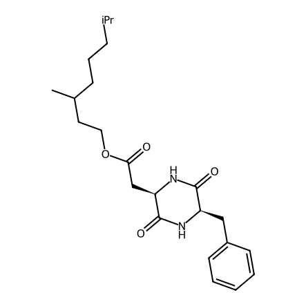 CC(C)CCCC(C)CCOC(=O)C[C@H]1NC(=O)[C@@H](Cc2ccccc2)NC1=O